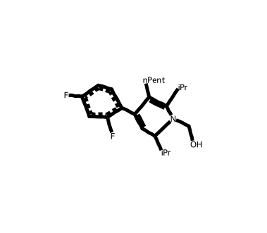 CCCCCC1=C(C(C)C)N(CO)C(C(C)C)C=C1c1ccc(F)cc1F